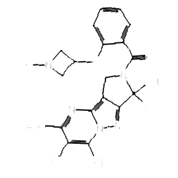 Cc1nc2c3c(nn2c(C)c1Cl)C(C)(C)N(C(=O)c1ccccc1OC1CN(C)C1)C3